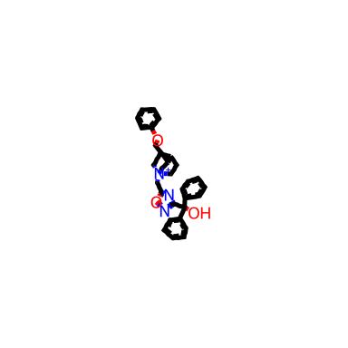 OC(c1ccccc1)(c1ccccc1)c1noc(C[N+]23CCC(CC2)C(COc2ccccc2)C3)n1